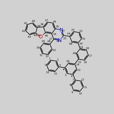 c1ccc(-c2cc(-c3ccccc3)cc(-c3cccc(-c4cccc(-c5nc(-c6ccccc6)c6c(ccc7c8ccccc8oc76)n5)c4)c3)c2)cc1